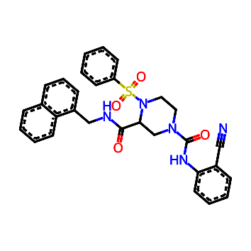 N#Cc1ccccc1NC(=O)N1CCN(S(=O)(=O)c2ccccc2)C(C(=O)NCc2cccc3ccccc23)C1